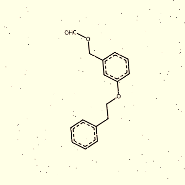 O=COCc1cccc(OCCc2ccccc2)c1